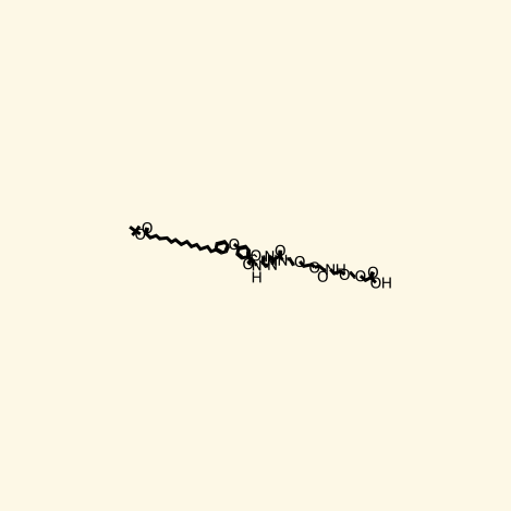 CC(C)(C)OC(=O)CCCCCCCCCCCCCc1ccc(Oc2ccc(S(=O)(=O)Nc3cnc(C(=O)NCCOCCOCC(=O)NCCOCCOCC(=O)O)nc3)cc2)cc1